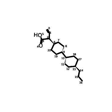 C=CC(C(=O)O)[C@H]1CC[C@H]([C@H]2CC[C@H](CCC)CC2)CC1